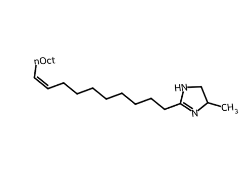 CCCCCCCC/C=C\CCCCCCCCC1=NC(C)CN1